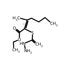 C=C(NN)S/C(C(=O)OCC)=C(/C)CCCC